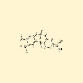 COC1=N[C@@H](CC(C)(C)C[C@@H]2CCCN(C(=O)O)C2)C(OC)=NC1C(C)C